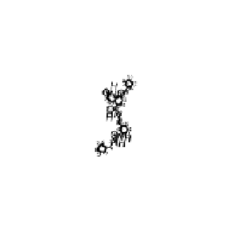 O=C(NCCc1ccccc1)Nc1cccc(CCNC[C@H](O)c2ccc(OCc3ccccc3)c3[nH]c(=O)ccc23)c1